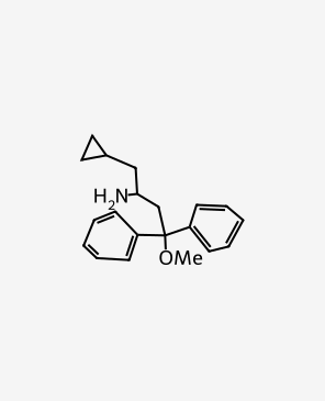 COC(CC(N)CC1CC1)(c1ccccc1)c1ccccc1